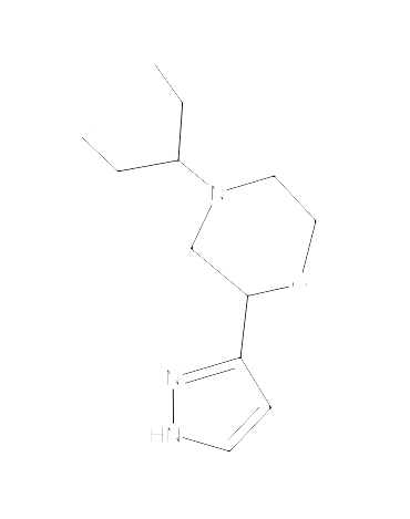 CCC(CC)N1CCOC(c2cc[nH]n2)C1